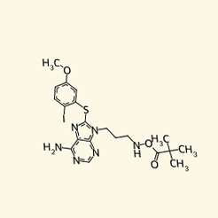 COc1ccc(I)c(Sc2nc3c(N)ncnc3n2CCCNOC(=O)C(C)(C)C)c1